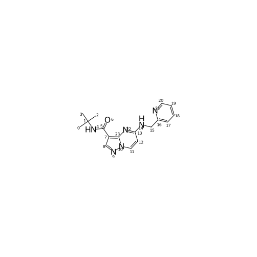 CC(C)(C)NC(=O)c1cnn2ccc(NCc3ccccn3)nc12